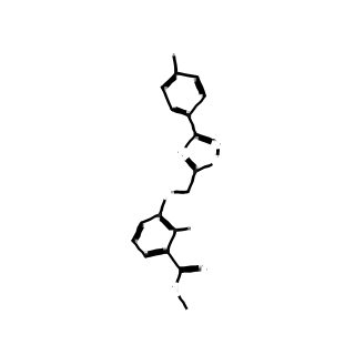 CNC(=N)c1cccc(OCc2nc(-c3ccc(Cl)cc3)ns2)c1F